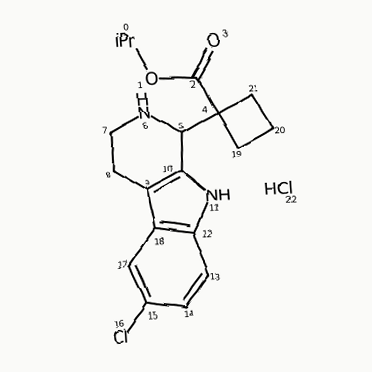 CC(C)OC(=O)C1(C2NCCc3c2[nH]c2ccc(Cl)cc32)CCC1.Cl